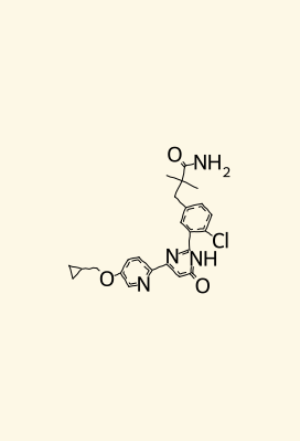 CC(C)(Cc1ccc(Cl)c(-c2nc(-c3ccc(OCC4CC4)cn3)cc(=O)[nH]2)c1)C(N)=O